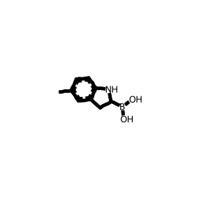 Cc1ccc2c(c1)CC(B(O)O)N2